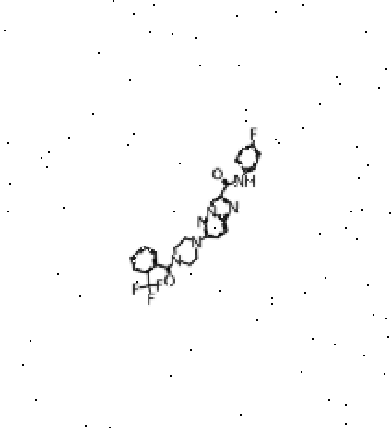 O=C(Nc1ccc(F)cc1)c1cn2nc(N3CCN(C(=O)c4ccccc4C(F)(F)F)CC3)ccc2n1